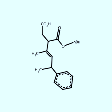 CCCCOC(=O)C(CC(=O)O)C(C)=CC(C)c1ccccc1